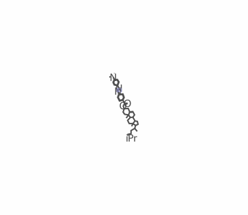 CC(C)CCCC(C)C1CCC2C3CC=C4CC(OC(=O)c5ccc(/N=N/c6ccc(N(C)C)cc6)cc5)CCC4(C)C3CCC12C